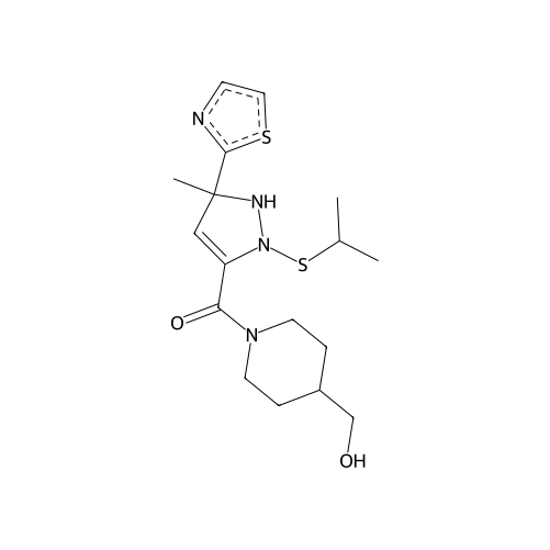 CC(C)SN1NC(C)(c2nccs2)C=C1C(=O)N1CCC(CO)CC1